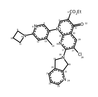 CCOC(=O)c1cn(-c2cnc(N3CCC3)cc2C)c2nc(N3Cc4cccnc4C3)c(Cl)cc2c1=O